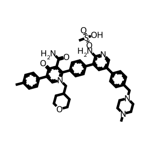 CS(=O)(=O)O.Cc1ccc(-c2cn(CC3CCOCC3)c(-c3ccc(-c4cc(-c5ccc(CN6CCN(C)CC6)cc5)cnc4N)cc3)c(C(N)=O)c2=O)cc1